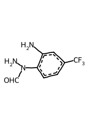 Nc1cc(C(F)(F)F)ccc1N(N)C=O